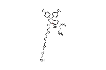 COc1ccc(C(OC(CO)OCCOCCOCCOCCOCCO)(c2ccccc2)c2ccc(OC)cc2)cc1.NCCCN